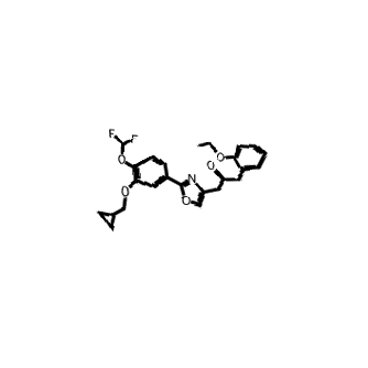 CCOc1ccccc1CC(=O)Cc1coc(-c2ccc(OC(F)F)c(OCC3CC3)c2)n1